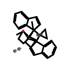 CC[Si]1([C]2([Hf+2]3([C]4([Si]5(CC)CCC5)C=Cc5ccccc54)[CH2][CH2]3)C=Cc3ccccc32)CCC1.[Cl-].[Cl-]